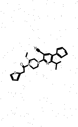 CC[C@@H]1CN(c2nc(C(C)C)c(-c3ccccc3)cc2C#N)CCN1C(=O)Cc1cccs1